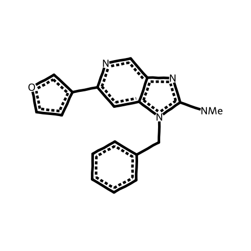 CNc1nc2cnc(-c3ccoc3)cc2n1Cc1ccccc1